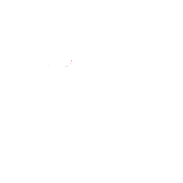 CCc1ccc(CC(C)(C)NC[C@@H](O)COC(C)c2ccccc2-c2ccc(C(=O)O)c(C)c2)cc1F